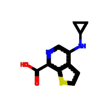 O=C(O)c1ncc(NC2CC2)c2ccsc12